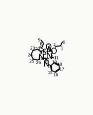 CCCOP(=O)(SCCC)N(C)C(=Nc1ccccc1)N1CCCCCC1